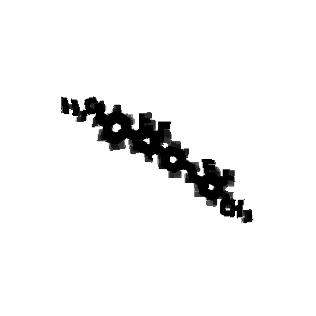 CCCC1CCC(c2ccc(C3CCC(CCC4=CC[C@H](CC)C(F)=C4F)CC3)c(F)c2F)CC1